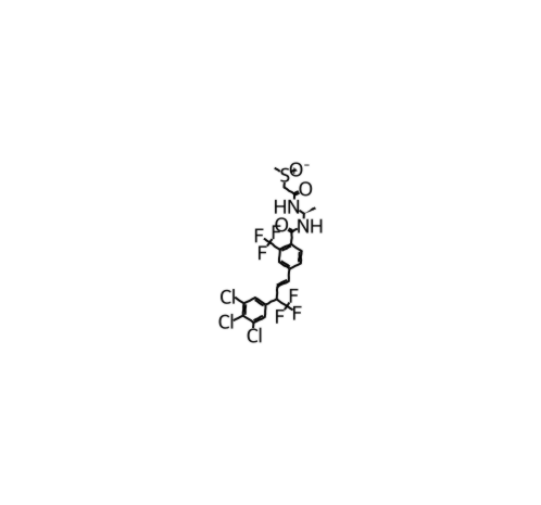 C[C@H](NC(=O)C[S+](C)[O-])NC(=O)c1ccc(C=CC(c2cc(Cl)c(Cl)c(Cl)c2)C(F)(F)F)cc1C(F)(F)F